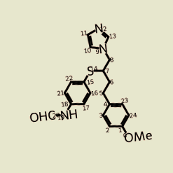 COc1ccc(CCC(Cn2ccnc2)Sc2ccc(NC=O)cc2)cc1